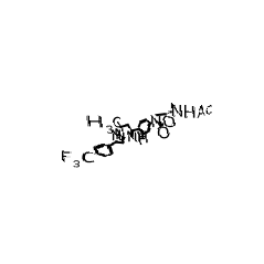 CC(=O)NC[C@H]1CN(c2ccc(C(=N)C[C@H](C)n3ccc(-c4ccc(C(F)(F)F)cc4)n3)c(F)c2)C(=O)O1